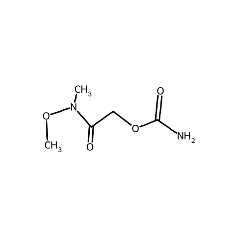 CON(C)C(=O)COC(N)=O